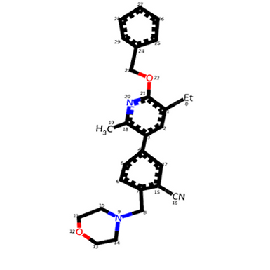 CCc1cc(-c2ccc(CN3CCOCC3)c(C#N)c2)c(C)nc1OCc1ccccc1